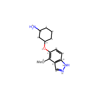 COc1c(OC2CCCC(N)C2)ccc2[nH]ncc12